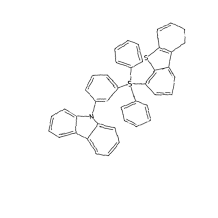 C1=Cc2sc3c(S(c4ccccc4)(c4ccccc4)c4cccc(-n5c6ccccc6c6ccccc65)c4)cccc3c2CC1